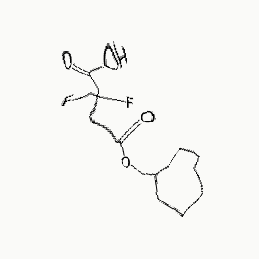 O=C(CC(F)(F)C(=O)O)OC1CCCCC1